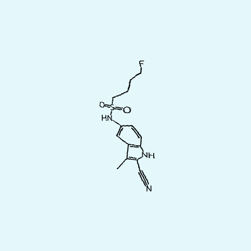 Cc1c(C#N)[nH]c2ccc(NS(=O)(=O)CCCCF)cc12